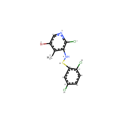 Cc1c(Br)cnc(Cl)c1NSc1cc(Cl)ccc1Cl